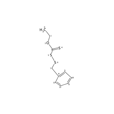 CCOC(=S)SSCc1ccccc1